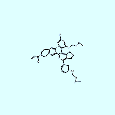 C=CC(=O)N1CCc2ncc(-c3nc(-c4cccc(OCCN(C)C)c4)c4ccsc4c3-c3c(F)cc(F)cc3OCCOC)cc2C1